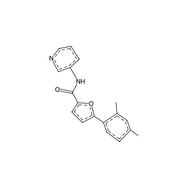 Cc1ccc(-c2ccc(C(=O)Nc3cccnc3)o2)c(C)c1